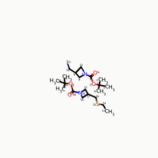 CC(C)(C)OC(=O)N1CC(CI)C1.CCSCC1CN(C(=O)OC(C)(C)C)C1